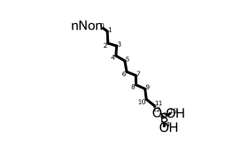 CCCCCCCCCCCCCCCCCCCCOB(O)O